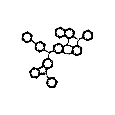 c1ccc(-c2ccc(N(c3ccc4c(c3)Oc3cccc5c3B4c3c(ccc4ccccc34)N5c3ccccc3)c3ccc4c(c3)c3ccccc3n4-c3ccccc3)cc2)cc1